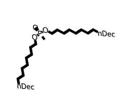 CCCCCCCCCCCCCCCCCCOP(C)(=O)OCCCCCCCCCCCCCCCCCC